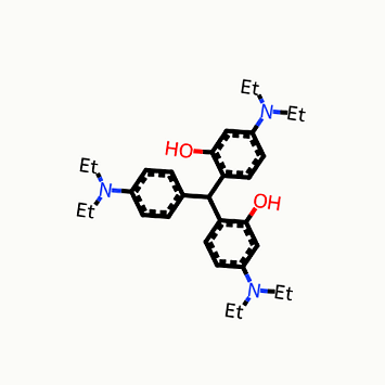 CCN(CC)c1ccc(C(c2ccc(N(CC)CC)cc2O)c2ccc(N(CC)CC)cc2O)cc1